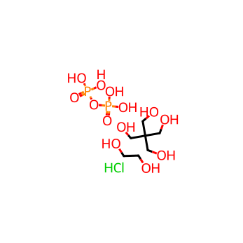 Cl.O=P(O)(O)OP(=O)(O)O.OCC(CO)(CO)CO.OCCO